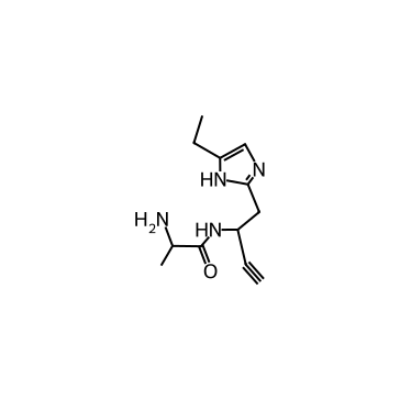 C#CC(Cc1ncc(CC)[nH]1)NC(=O)C(C)N